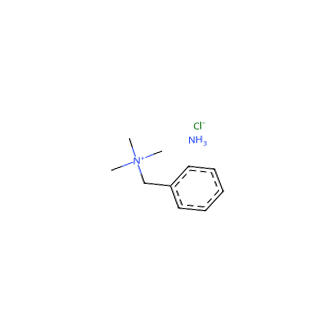 C[N+](C)(C)Cc1ccccc1.N.[Cl-]